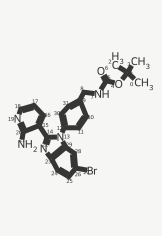 CC(C)(C)OC(=O)NCc1ccc(-n2c(-c3cccnc3N)nc3ccc(Br)cc32)cc1